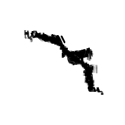 CCCCCC1CCC(c2ccc(OCCCCCOC(=O)CCN(CCO[Si](C)(C)C(C)(C)C)CCC(=O)OCCCCCOc3ccc(C4CCC(CCCCC)CC4)cc3O)c(O)c2)CC1